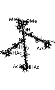 COc1ccc(C(OCC(O)C(=O)N(CCCCN(CCCNC(=O)CCCNC(=O)CCCCOC2OC(COC(C)=O)C(C)C(C)C2NC(C)=O)C(=O)CCCNC(=O)CCCCOC2OC(COC(C)=O)C(C)C(C)C2NC(C)=O)CCCNC(=O)CCCNC(=O)CCCCOC2OC(COC(C)=O)C(C)C(C)C2NC(C)=O)(c2ccccc2)c2ccc(OC)cc2)cc1